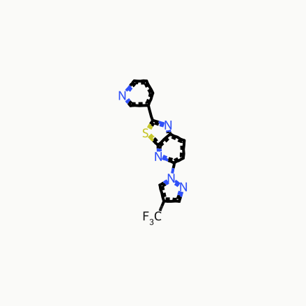 FC(F)(F)c1cnn(-c2ccc3nc(-c4cccnc4)sc3n2)c1